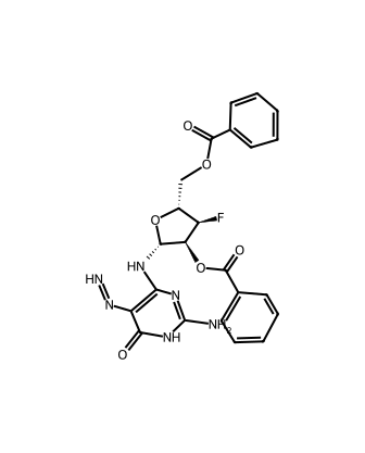 N=Nc1c(N[C@@H]2O[C@H](COC(=O)c3ccccc3)[C@@H](F)[C@H]2OC(=O)c2ccccc2)nc(N)[nH]c1=O